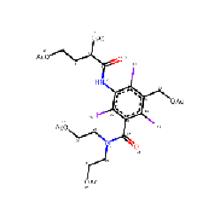 CC(=O)OCCC(OC(C)=O)C(=O)Nc1c(I)c(COC(C)=O)c(I)c(C(=O)N(CCOC(C)=O)CCOC(C)=O)c1I